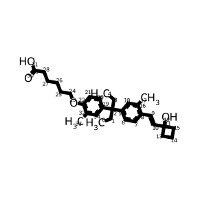 CCC(CC)(c1ccc(C=CC2(O)CCC2)c(C)c1)c1ccc(OCCCCCC(=O)O)c(C)c1